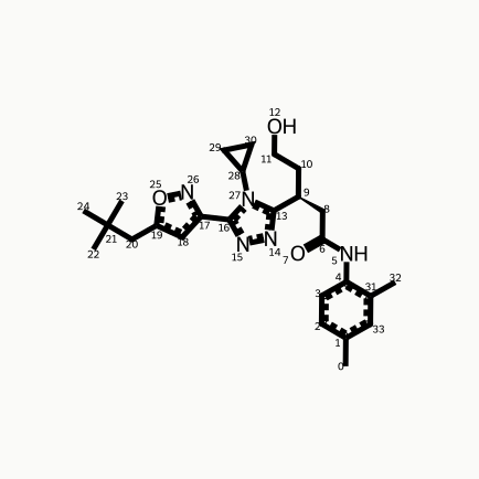 Cc1ccc(NC(=O)C[C@H](CCO)c2nnc(-c3cc(CC(C)(C)C)on3)n2C2CC2)c(C)c1